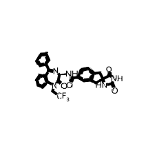 O=C1NC(=O)C2(Cc3ccc(C(=O)N[C@@H]4N=C(c5ccccc5)c5ccccc5N(CC(F)(F)F)C4=O)cc3C2)N1